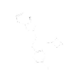 Clc1ccc(OCc2cc3ccccc3o2)c(OC2CNC2)c1